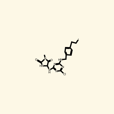 CN1C(=O)NC(Nc2nc(Cl)nc(NCc3ccc(CCI)cc3)n2)C1=O